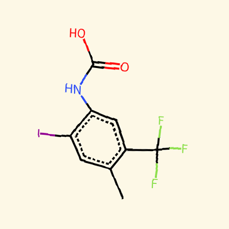 Cc1cc(I)c(NC(=O)O)cc1C(F)(F)F